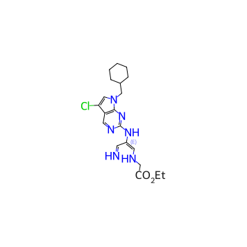 CCOC(=O)CN/C=C(\C=N)Nc1ncc2c(Cl)cn(CC3CCCCC3)c2n1